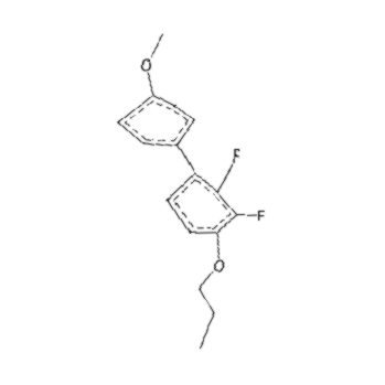 CCCOc1ccc(-c2ccc(OC)cc2)c(F)c1F